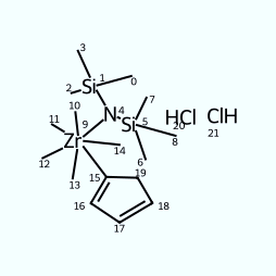 C[Si](C)(C)[N]([Si](C)(C)C)[Zr]([CH3])([CH3])([CH3])([CH3])([CH3])[C]1=CC=CC1.Cl.Cl